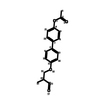 CC(=O)Oc1ccc(-c2ccc(OCC(C)N=O)cc2)cc1